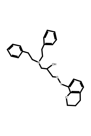 OC(COSc1cccc2c1OCCC2)CN(CCc1ccccc1)CCc1ccccc1